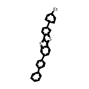 CCc1ccc(-c2ccc3c(c2)sc2c4ccc(-c5ccc(-c6ccccc6)cc5)cc4sc32)cc1